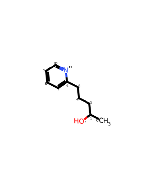 CC(O)CCCc1ccccn1